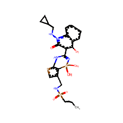 CCCS(=O)(=O)NCc1csc2c1S(O)(O)N=C(c1c(O)c3ccccc3n(NCC3CC3)c1=O)N2